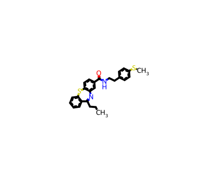 CCCC1=Nc2cc(C(=O)NCCc3ccc(SC)cc3)ccc2Sc2ccccc21